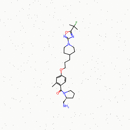 Cc1cc(OCCCC2CCN(c3noc(C(C)(C)F)n3)CC2)ccc1C(=O)N1CCC[C@H]1CN